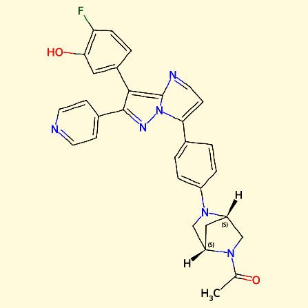 CC(=O)N1C[C@@H]2C[C@H]1CN2c1ccc(-c2ccnc3c(-c4ccc(F)c(O)c4)c(-c4ccncc4)nn23)cc1